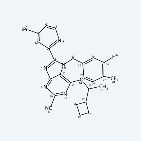 CC(C)c1ccnc(-c2nc3nc(C#N)nc(OC(C)C4CCC4)c3n2Cc2ccc(C(F)(F)F)c(F)c2)c1